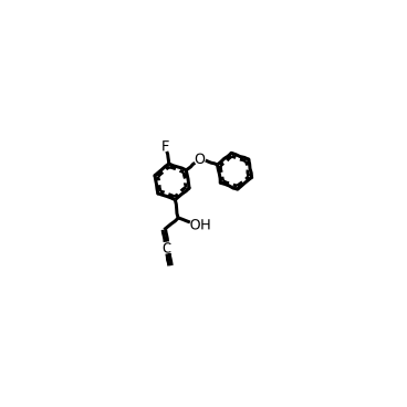 C=C=CC(O)c1ccc(F)c(Oc2ccccc2)c1